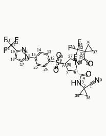 N#CC1(NC(=O)[C@@H]2C[C@@H](S(=O)(=O)c3ccc(-n4ccc(C(F)(F)F)n4)cc3)CN2C(=O)C2(C(F)(F)F)CC2)CC1